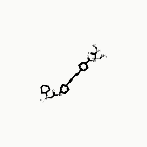 CN(CC(=O)Nc1ccc(C#CC#Cc2ccc(C(=O)N[C@@H](CN)C(=O)NO)cc2)cc1)C1CCCCC1